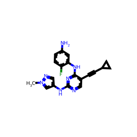 Cn1cc(Nc2ncc(C#CC3CC3)c(Nc3cc(N)ccc3F)n2)cn1